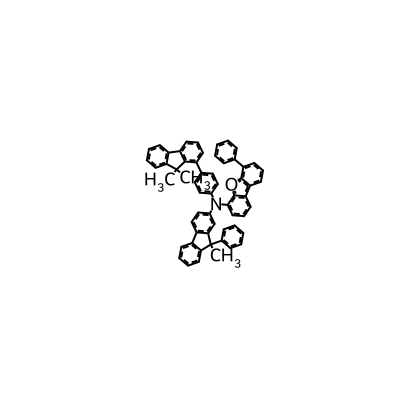 CC1(C)c2ccccc2-c2cccc(-c3ccc(N(c4ccc5c(c4)C(C)(c4ccccc4)c4ccccc4-5)c4cccc5c4oc4c(-c6ccccc6)cccc45)cc3)c21